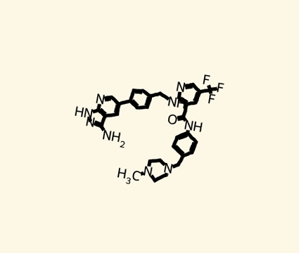 CN1CCN(Cc2ccc(NC(=O)c3cc(C(F)(F)F)cnc3NCc3ccc(-c4cnc5[nH]nc(N)c5c4)cc3)cc2)CC1